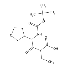 CCC(C(=O)O)C(=O)C(NC(=O)OC(C)(C)C)C1CCOC1